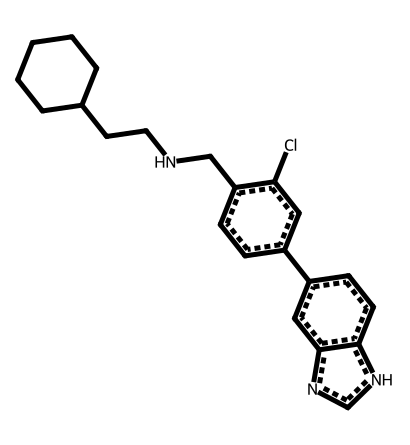 Clc1cc(-c2ccc3[nH]cnc3c2)ccc1CNCCC1CCCCC1